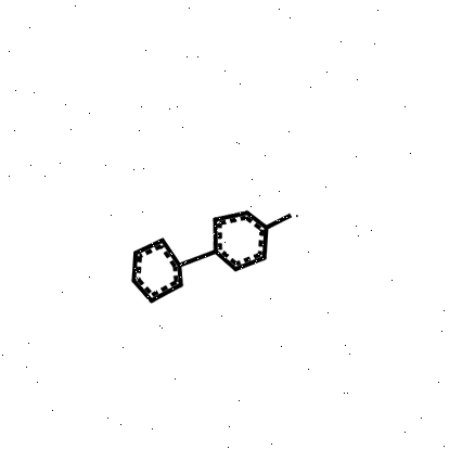 [CH2]c1ccc(-c2ccccc2)cc1